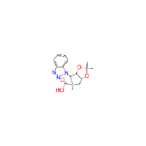 CC1(C)OC2CC(C)(C(=O)O)C(n3nnc4ccccc43)C2O1